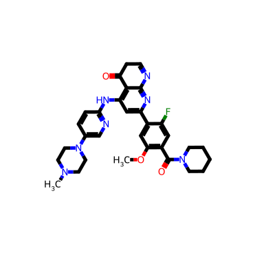 COc1cc(-c2cc(Nc3ccc(N4CCN(C)CC4)cn3)c3c(n2)N=CCC3=O)c(F)cc1C(=O)N1CCCCC1